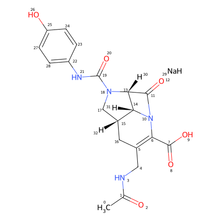 CC(=O)NCC1=C(C(=O)O)N2C(=O)[C@@H]3[C@H]2[C@H](C1)CN3C(=O)Nc1ccc(O)cc1.[NaH]